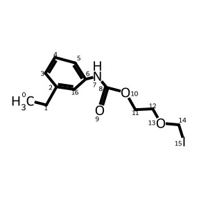 CCc1cccc(NC(=O)OCCOCI)c1